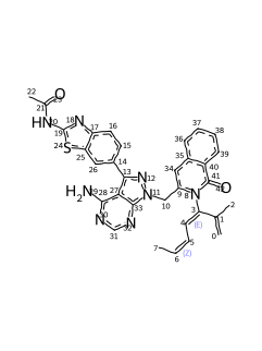 C=C(C)/C(=C\C=C/C)n1c(Cn2nc(-c3ccc4nc(NC(C)=O)sc4c3)c3c(N)ncnc32)cc2ccccc2c1=O